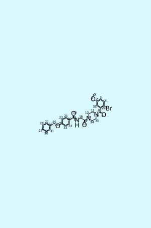 COc1ccc(Br)c(C(=O)N2CCN(C(=O)CNC(=O)c3ccc(OCc4ccccc4)cc3)CC2)c1